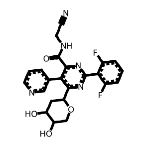 N#CCNC(=O)c1nc(-c2c(F)cccc2F)nc(C2CC(O)C(O)CO2)c1-c1cccnc1